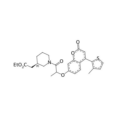 CCOC(=O)C[C@H]1CCCN(C(=O)C(C)Oc2ccc3c(-c4sccc4C)cc(=O)oc3c2)C1